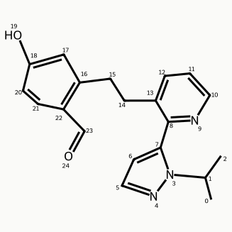 CC(C)n1nccc1-c1ncccc1CCc1cc(O)ccc1C=O